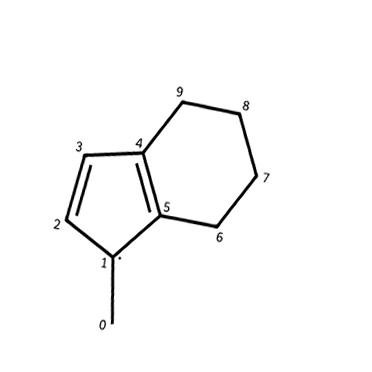 C[C]1C=CC2=C1CCCC2